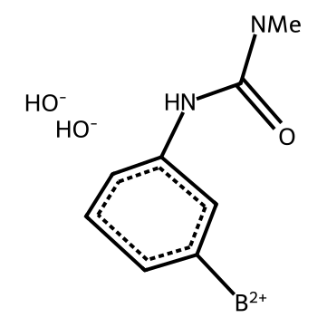 [B+2]c1cccc(NC(=O)NC)c1.[OH-].[OH-]